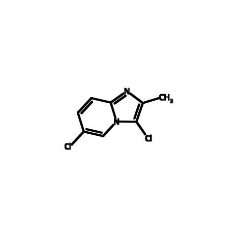 Cc1nc2ccc(Cl)cn2c1Cl